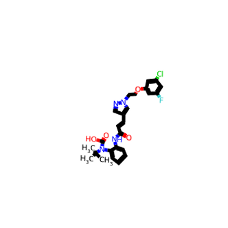 CC(C)(C)N(C(=O)O)c1ccccc1NC(=O)/C=C/c1cnn(CCOc2cc(F)cc(Cl)c2)c1